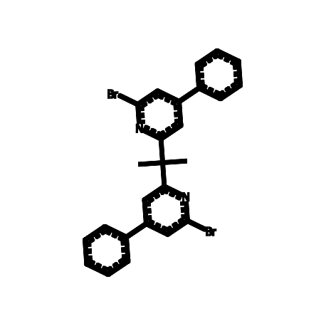 CC(C)(c1cc(-c2ccccc2)cc(Br)n1)c1cc(-c2ccccc2)cc(Br)n1